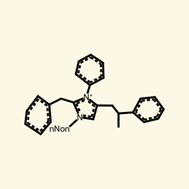 CCCCCCCCCn1cc(CC(C)c2ccccc2)[n+](-c2ccccc2)c1Cc1ccccc1